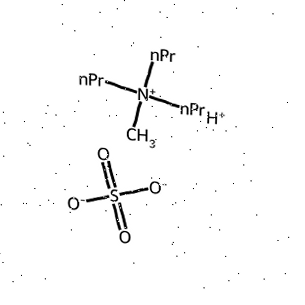 CCC[N+](C)(CCC)CCC.O=S(=O)([O-])[O-].[H+]